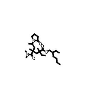 CCCCC(CC)COC(=O)C(C)(CC)CC(C)(CC(C)N1CCCC1=O)C(=O)N(C)C